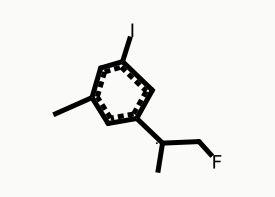 C[C](CF)c1cc(C)cc(I)c1